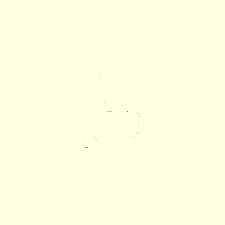 FC(F)(F)COc1nc(Nc2ccc(OC(F)(F)Cl)cc2)nc(N2CCN(c3cccc(Cl)c3)CC2)n1